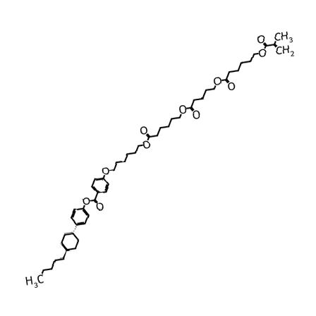 C=C(C)C(=O)OCCCCCC(=O)OCCCCC(=O)OCCCCCC(=O)OCCCCCCOc1ccc(C(=O)Oc2ccc([C@H]3CC[C@H](CCCCC)CC3)cc2)cc1